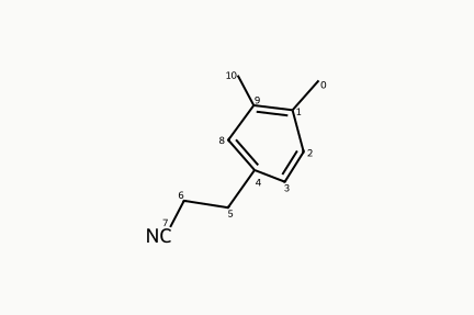 Cc1ccc(CCC#N)cc1C